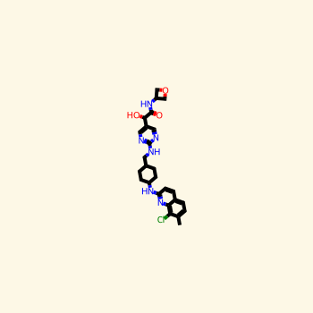 Cc1ccc2ccc(NC3CCC(CNc4ncc(C(O)C(=O)NC5COC5)cn4)CC3)nc2c1Cl